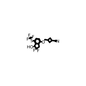 N#CC1CC(COc2ccc(SC(F)(F)F)c3c2CC(F)(F)[C@H]3O)C1